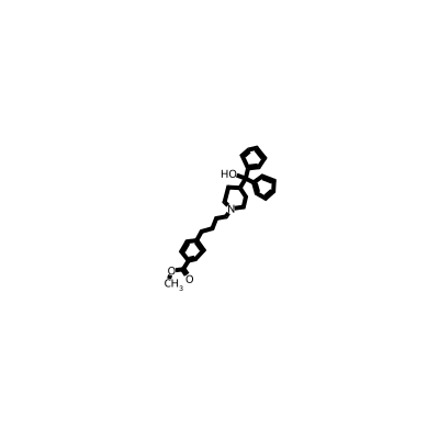 COC(=O)c1ccc(CCCCN2CCC(C(O)(c3ccccc3)c3ccccc3)CC2)cc1